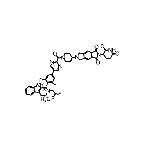 C[C@@H]1Cc2c([nH]c3ccccc23)[C@@H](c2c(F)cc(-c3cnc(C(=O)N4CCC(N5Cc6cc7c(cc6C5)C(=O)N(C5CCC(=O)NC5=O)C7=O)CC4)nc3)cc2F)N1CC(F)F